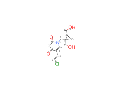 O=C1CC(=O)N(CC2(CO)CC2CO)C=C1C=CCl